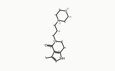 Cc1c[nH]c2c1C(=O)N(CCCN1CCOCC1)CC2